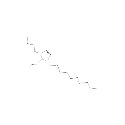 CCCCCCCCCCN1C=CN(CCCC)C1CCC